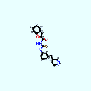 O=C(NC(=S)Nc1cccc(Cc2cccnc2)c1)c1cc2ccccc2o1